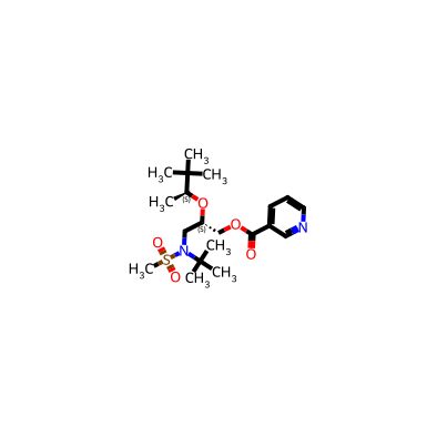 C[C@H](O[C@H](COC(=O)c1cccnc1)CN(C(C)(C)C)S(C)(=O)=O)C(C)(C)C